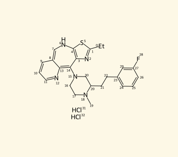 CCc1nc2c(s1)NC=c1cccnc1=C2N1CCN(C)C(CCc2cccc(F)c2)C1.Cl.Cl